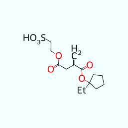 C=C(CC(=O)OCCS(=O)(=O)O)C(=O)OC1(CC)CCCC1